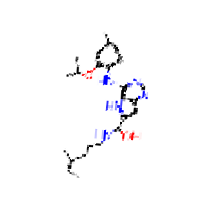 C/C=C(/C)CCCNC(O)c1cc2ncnc(Nc3ccc(C)cc3OC(C)C)c2[nH]1